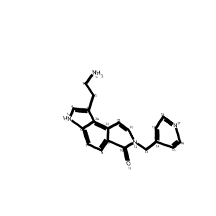 NCCc1c[nH]c2ccc3c(=O)n(Cc4ccncc4)ccc3c12